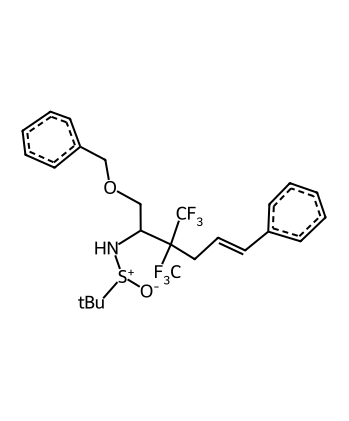 CC(C)(C)[S+]([O-])NC(COCc1ccccc1)C(CC=Cc1ccccc1)(C(F)(F)F)C(F)(F)F